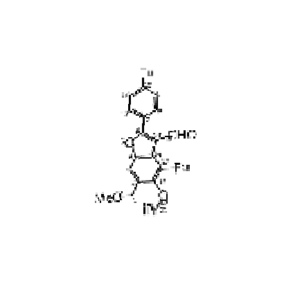 COCc1cc2oc(-c3ccc(F)cc3)c(C=O)c2c(F)c1OC(C)C